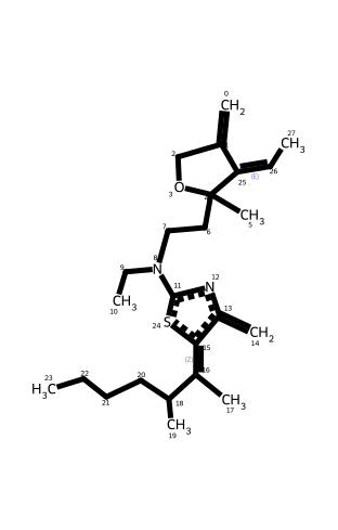 C=C1COC(C)(CCN(CC)c2nc(=C)/c(=C(\C)C(C)CCCC)s2)/C1=C/C